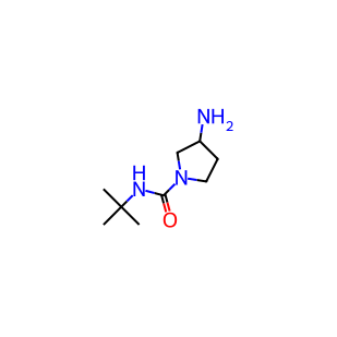 CC(C)(C)NC(=O)N1CCC(N)C1